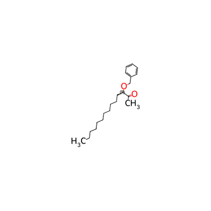 CCCCCCCCCCC[C@@H](OCc1ccccc1)C(C)=O